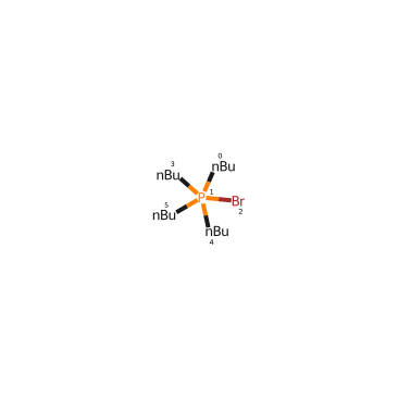 CCCCP(Br)(CCCC)(CCCC)CCCC